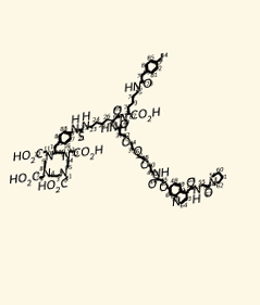 O=C(O)CN1CCN(CC(=O)O)CCN(CC(=O)O)C(Cc2ccc(NC(=S)NCCCC[C@H](NC(=O)CCOCCOCCOCCNC(=O)COc3ccc4c(C(=O)NCC(=O)N5CCCC5)ccnc4c3)C(=O)N[C@@H](CCCCNC(=O)Cc3ccc(I)cc3)C(=O)O)cc2)CN(CC(=O)O)CC1